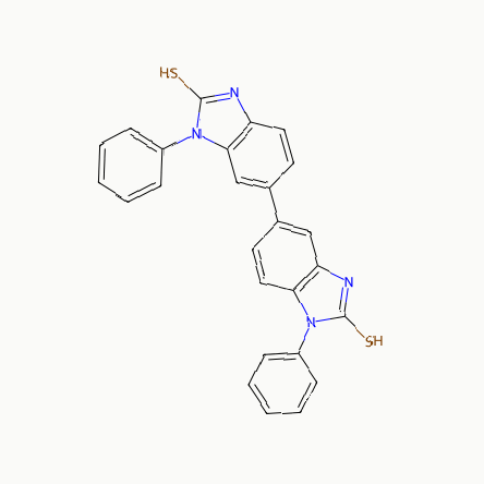 Sc1nc2cc(-c3ccc4nc(S)n(-c5ccccc5)c4c3)ccc2n1-c1ccccc1